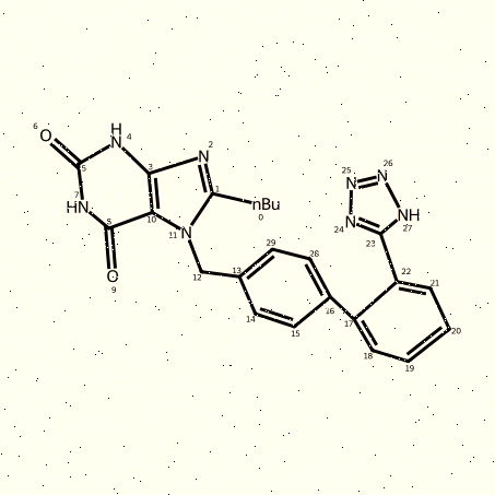 CCCCc1nc2[nH]c(=O)[nH]c(=O)c2n1Cc1ccc(-c2ccccc2-c2nnn[nH]2)cc1